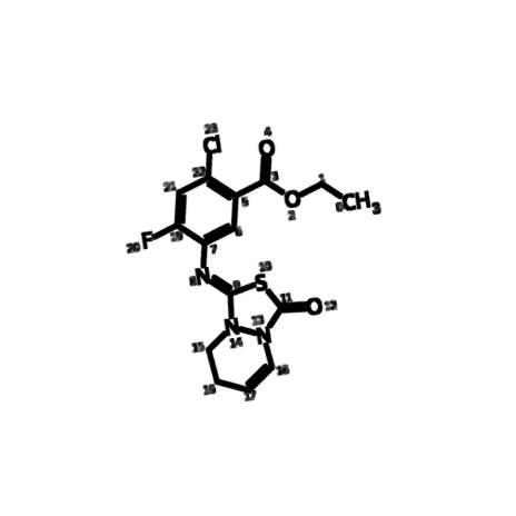 CCOC(=O)c1cc(N=c2sc(=O)n3n2CCC=C3)c(F)cc1Cl